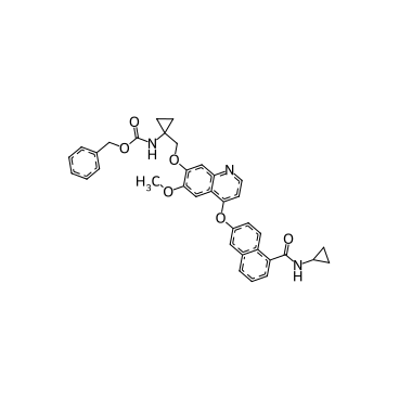 COc1cc2c(Oc3ccc4c(C(=O)NC5CC5)cccc4c3)ccnc2cc1OCC1(NC(=O)OCc2ccccc2)CC1